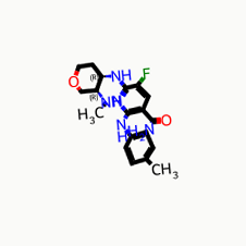 CN[C@H]1COCC[C@H]1Nc1nc(Nc2ccc(C)cc2)c(C(N)=O)cc1F